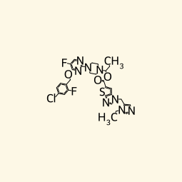 CCC(OC(=O)c1cc2c(ncn2Cc2cncn2CC)s1)N1CCN(c2ncc(F)c(OCc3ccc(Cl)cc3F)n2)CC1